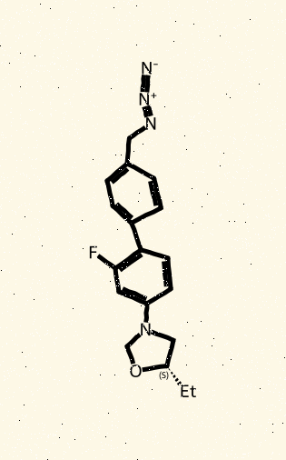 CC[C@H]1CN(c2ccc(-c3ccc(CN=[N+]=[N-])cc3)c(F)c2)CO1